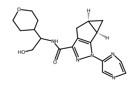 O=C(NC(CO)C1CCOCC1)c1nn(-c2cnccn2)c2c1C[C@H]1C[C@@H]21